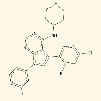 Cc1cccc(-n2cc(-c3ccc(Cl)cc3F)c3c(NC4CCOCC4)ncnc32)c1